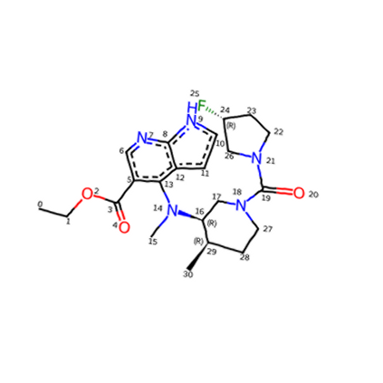 CCOC(=O)c1cnc2[nH]ccc2c1N(C)[C@H]1CN(C(=O)N2CC[C@@H](F)C2)CC[C@H]1C